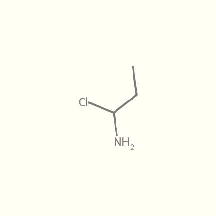 CCC(N)Cl